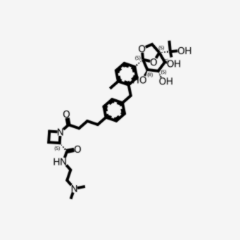 Cc1ccc([C@]23OC[C@](C(C)(C)O)(O2)[C@@H](O)[C@H](O)[C@H]3O)cc1Cc1ccc(CCCC(=O)N2CC[C@H]2C(=O)NCCN(C)C)cc1